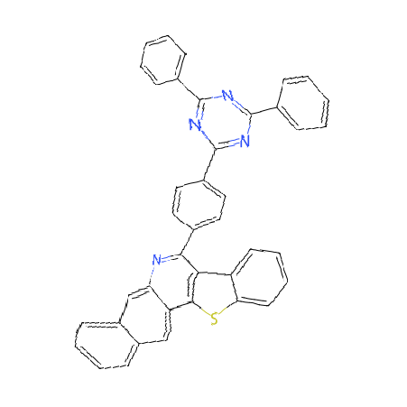 c1ccc(-c2nc(-c3ccccc3)nc(-c3ccc(-c4nc5cc6ccccc6cc5c5sc6ccccc6c45)cc3)n2)cc1